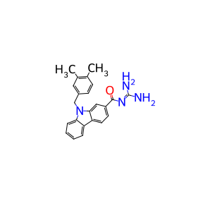 Cc1ccc(Cn2c3ccccc3c3ccc(C(=O)N=C(N)N)cc32)cc1C